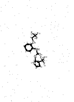 O=C(Nc1ccccc1OCC(F)(F)F)Oc1sccc1C(F)(F)F